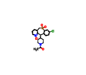 CC(=O)N1CCC(=C2c3ccc(Cl)cc3S(=O)(=O)Cc3ccc[n+]([O-])c32)CC1